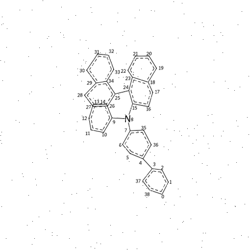 c1ccc(-c2ccc(N(c3ccccc3)c3ccc4ccccc4c3-c3cccc4ccccc34)cc2)cc1